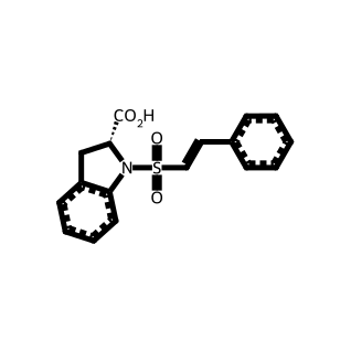 O=C(O)[C@H]1Cc2ccccc2N1S(=O)(=O)/C=C/c1ccccc1